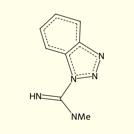 CNC(=N)n1nnc2ccccc21